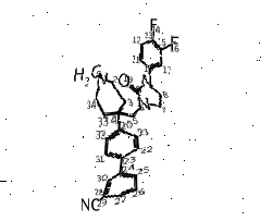 CN1CCC(CN2CCN(c3ccc(F)c(F)c3)C2=O)(c2ccc(-c3cccc(C#N)c3)cc2)CC1